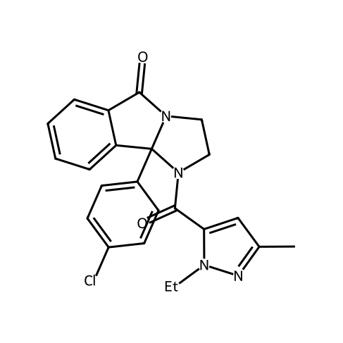 CCn1nc(C)cc1C(=O)N1CCN2C(=O)c3ccccc3C21c1ccc(Cl)cc1